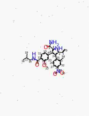 C=Cc1[nH]c(C(N)=O)c(-c2ccc(C(=O)NCC(C)C)c(OC)c2)c1-c1ccc([N+](=O)[O-])cc1C